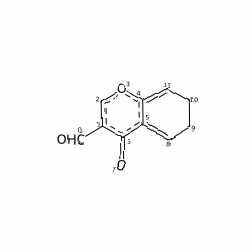 O=Cc1coc2c(c1=O)=CCCC=2